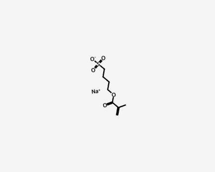 C=C(C)C(=O)OCCCCS(=O)(=O)[O-].[Na+]